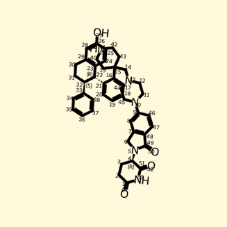 O=C1CC[C@@H](N2Cc3cc(N4CCN(CC5(c6ccccc6[C@H]6c7ccc(O)cc7CC[C@@H]6c6ccccc6)CCNCC5)CC4)ccc3C2=O)C(=O)N1